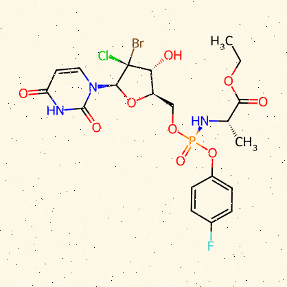 CCOC(=O)[C@H](C)N[P@@](=O)(OC[C@H]1O[C@@H](n2ccc(=O)[nH]c2=O)[C@](Cl)(Br)[C@@H]1O)Oc1ccc(F)cc1